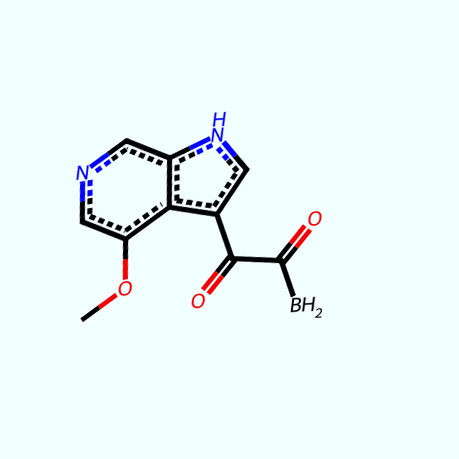 BC(=O)C(=O)c1c[nH]c2cncc(OC)c12